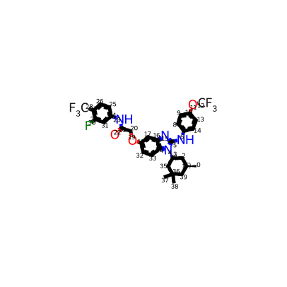 C[C@@H]1C[C@H](n2c(Nc3ccc(OC(F)(F)F)cc3)nc3cc(OCC(=O)Nc4ccc(C(F)(F)F)c(F)c4)ccc32)CC(C)(C)C1